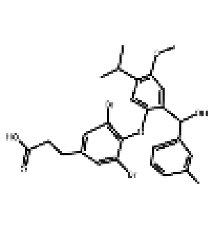 COc1cc(C(O)c2cccc(C)c2)c(Oc2c(Br)cc(CCC(=O)O)cc2Br)cc1C(C)C